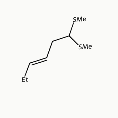 CCC=CCC(SC)SC